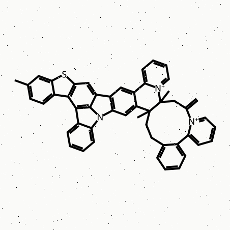 C=C1CC2(C)[n+]3ccccc3-c3cc4c5cc6sc7cc(C)ccc7c6c6c7ccccc7n(c4cc3C2(C)CCc2ccccc2-c2cccc[n+]21)c56